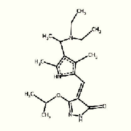 CCN(CC)C(C)c1c(C)[nH]c(/C=C2/C(=O)NN=C2OC(C)C)c1C